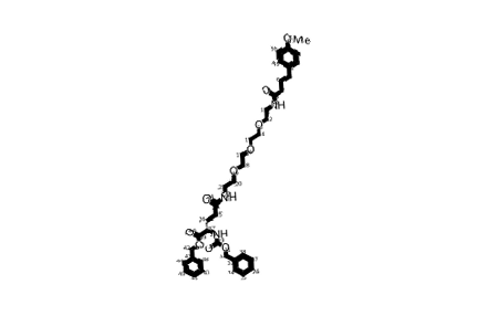 COc1ccc(CCCC(=O)NCCOCCOCCOCCNC(=O)CC[C@H](NC(=O)OCc2ccccc2)C(=O)OCc2ccccc2)cc1